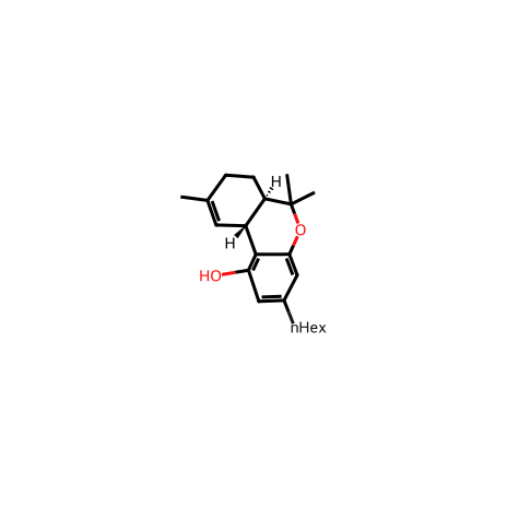 CCCCCCc1cc(O)c2c(c1)OC(C)(C)[C@@H]1CCC(C)=C[C@@H]21